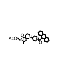 CC(=O)OCCN1C(=O)C2(CCCN(C3CCN(C(=O)c4c5ccccc5cc5ccccc45)CC3)C2)CC1C